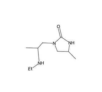 CCNC(C)CN1CC(C)NC1=O